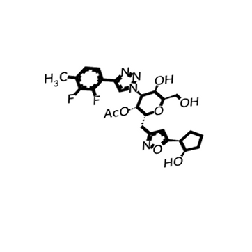 CC(=O)O[C@@H]1[C@@H](n2cc(-c3ccc(C)c(F)c3F)nn2)[C@@H](O)[C@@H](CO)O[C@@H]1Cc1cc([C@H]2CCC[C@H]2O)on1